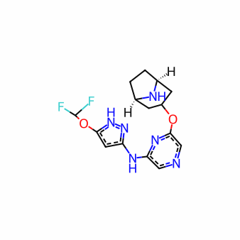 FC(F)Oc1cc(Nc2cncc(OC3C[C@H]4CC[C@@H](C3)N4)n2)n[nH]1